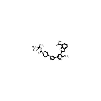 CC(C)(C)OC(=O)N1CCC(n2cc(-c3cnc(N)c(-c4nc5cccc(C(=O)O)c5o4)c3)cn2)CC1